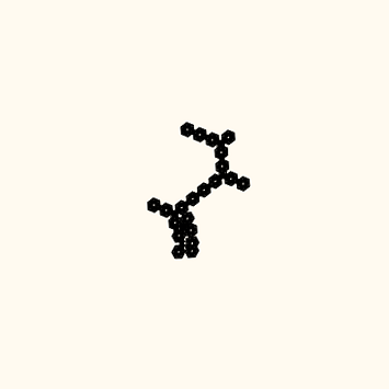 c1ccc(-c2ccc(-c3ccc(N(c4ccccc4)c4ccc(-c5ccc(N(c6ccc(-c7ccccc7)cc6)c6ccc(-c7ccc(-c8ccc(-c9ccc(N(c%10ccc(-c%11ccccc%11)cc%10)c%10ccc%11c(c%10)C(c%10ccccc%10)(c%10ccccc%10)c%10cc(N(c%12ccccc%12)c%12cccc%13ccccc%12%13)ccc%10-%11)cc9)cc8)cc7)cc6)cc5)cc4)cc3)cc2)cc1